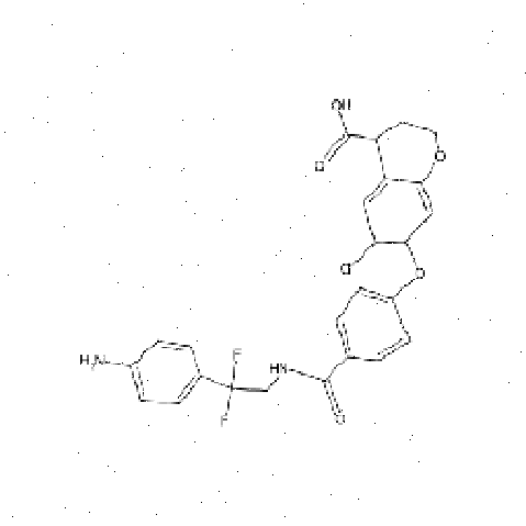 Nc1ccc(C(F)(F)CNC(=O)c2ccc(OC3C=C4OCCC(C(=O)O)C4=CC3Cl)cc2)cc1